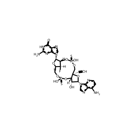 C#C[C@@]12COP(O)(=S)O[C@@H]3[C@@H](F)[C@@H](COP(O)(=S)O[C@H]1[C@@H](O)[C@@H](n1cnc4c(N)ccnc41)O2)O[C@H]3n1cnc2c(=O)[nH]c(N)nc21